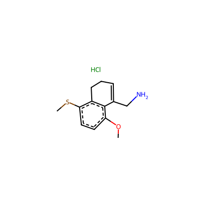 COc1ccc(SC)c2c1C(CN)=CCC2.Cl